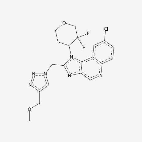 COCc1cn(Cc2nc3cnc4ccc(Cl)cc4c3n2C2CCOCC2(F)F)nn1